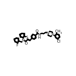 Cc1ccc(Cl)cc1N1CCN(CCCNC(=O)c2ccc(C=C3Sc4ccccc4N(Cc4ccccc4F)C3=O)cc2)CC1